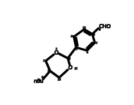 CCCCC1COC(c2ccc(C=O)cc2)OC1